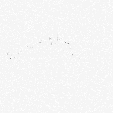 CCCCCCCCCCCCOC[C@H](CSC[C@H](N)C(=O)N[C@@H](C)COCCOCCOCCP(=O)(O)O)OC(C)=O